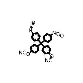 N#COc1ccc(C(c2ccc(N=C=O)cc2)(c2ccc(N=C=O)cc2)c2ccc(OC#N)cc2)cc1